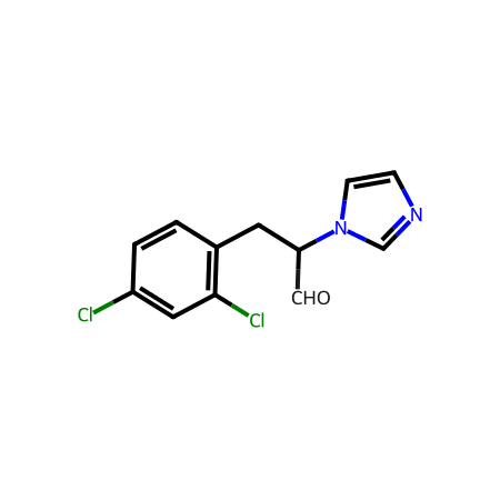 O=CC(Cc1ccc(Cl)cc1Cl)n1ccnc1